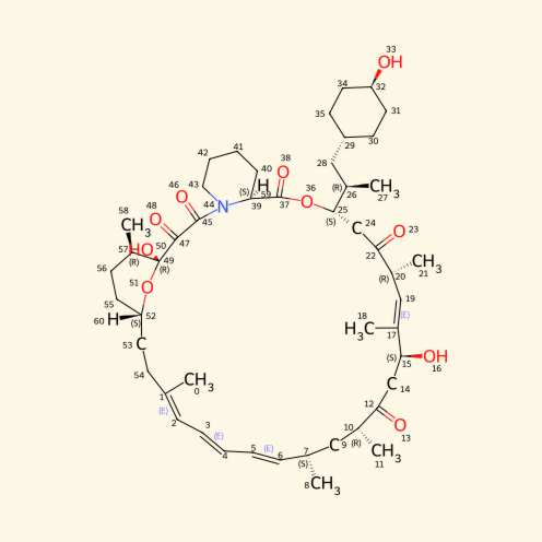 C\C1=C/C=C/C=C/[C@@H](C)C[C@@H](C)C(=O)C[C@H](O)/C(C)=C/[C@@H](C)C(=O)C[C@@H]([C@H](C)C[C@H]2CC[C@H](O)CC2)OC(=O)[C@@H]2CCCCN2C(=O)C(=O)[C@]2(O)O[C@H](CC1)CC[C@H]2C